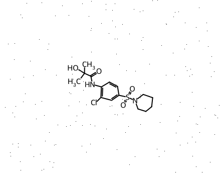 CC(C)(O)C(=O)Nc1ccc(S(=O)(=O)N2CCCCC2)cc1Cl